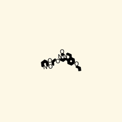 C=CCOc1ccc2c(c1)CCn1c-2cc(OCC2COc3ncccc3O2)nc1=O